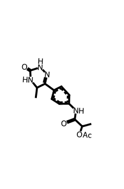 CC(=O)OC(C)C(=O)Nc1ccc(C2=NNC(=O)NC2C)cc1